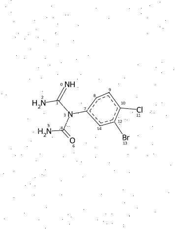 N=C(N)N(C(N)=O)c1ccc(Cl)c(Br)c1